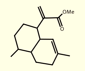 C=C(C(=O)OC)C1CCC(C)C2CCC(C)=CC12